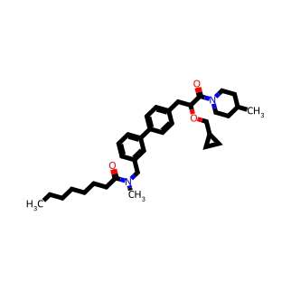 CCCCCCCC(=O)N(C)Cc1cccc(-c2ccc(CC(OCC3CC3)C(=O)N3CCC(C)CC3)cc2)c1